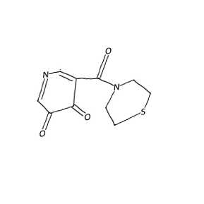 O=C1C=N[C]=C(C(=O)N2CCSCC2)C1=O